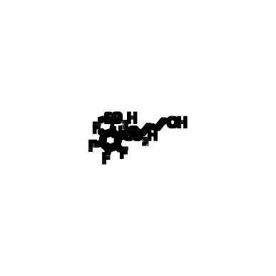 CS(=O)(=O)O.O=C(O)c1c(F)c(F)c(F)c(F)c1F.OCCCCO